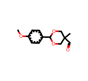 COc1ccc(C2OCC(C)(C=O)CO2)cc1